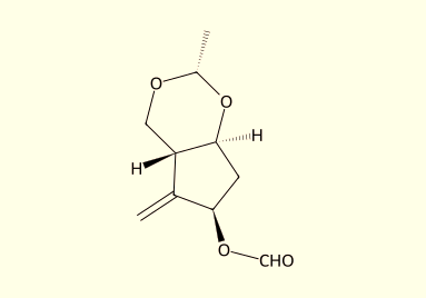 C=C1[C@H](OC=O)C[C@@H]2O[C@@H](C)OC[C@@H]12